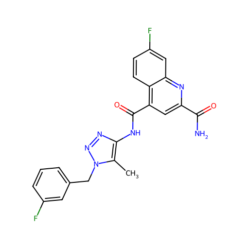 Cc1c(NC(=O)c2cc(C(N)=O)nc3cc(F)ccc23)nnn1Cc1cccc(F)c1